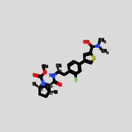 CN(C)C(O)c1cc(-c2ccc(C[C@@H](C#N)NC(=O)[C@@H]3[C@H]4CC[C@H](C4)N3C(=O)OC(C)(C)C)c(F)c2)cs1